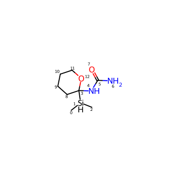 C[SiH](C)C1(NC(N)=O)CCCCO1